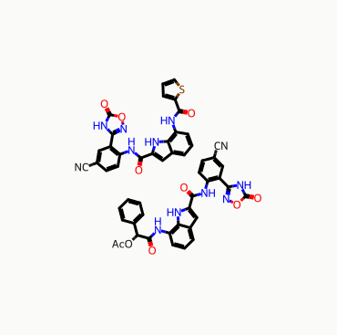 CC(=O)OC(C(=O)Nc1cccc2cc(C(=O)Nc3ccc(C#N)cc3-c3noc(=O)[nH]3)[nH]c12)c1ccccc1.N#Cc1ccc(NC(=O)c2cc3cccc(NC(=O)c4cccs4)c3[nH]2)c(-c2noc(=O)[nH]2)c1